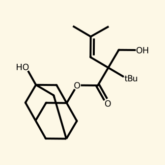 CC(C)=CC(CO)(C(=O)OC12CC3CC(CC(O)(C3)C1)C2)C(C)(C)C